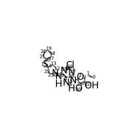 C=C[C@H]1O[C@@H](n2cnc3c(NN4CCC(Sc5ccccc5)CC4)nc(Cl)nc32)[C@H](O)[C@@H]1O